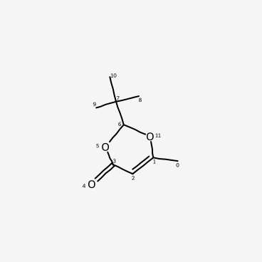 CC1=CC(=O)OC(C(C)(C)C)O1